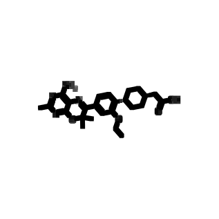 CCOc1cc(C2=Nc3c(N)nc(C)nc3OC2(C)C)ccc1[C@H]1CC[C@H](CC(=O)O)CC1